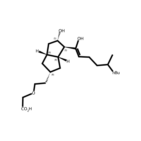 CCCCC(C)CCC=C(O)[C@H]1[C@@H]2C[C@H](CCOCC(=O)O)C[C@@H]2C[C@@H]1O